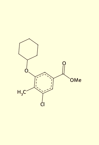 COC(=O)c1cc(Cl)c(C)c(OC2CCCCC2)c1